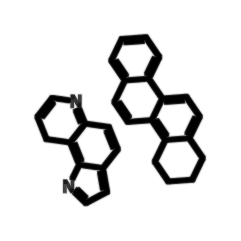 C1=CN=c2ccc3c(c2C1)N=CC=3.c1ccc2c(c1)ccc1c3c(ccc12)CCCC3